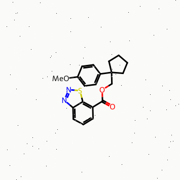 COc1ccc(C2(COC(=O)c3cccc4nnsc34)CCCC2)cc1